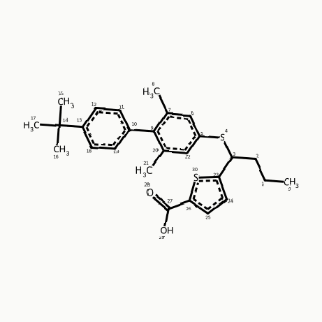 CCCC(Sc1cc(C)c(-c2ccc(C(C)(C)C)cc2)c(C)c1)c1ccc(C(=O)O)s1